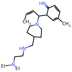 C/C=C\C(C1C=C(C)C=CC1=N)N1CCC(CNCCN(CC)CC)CC1